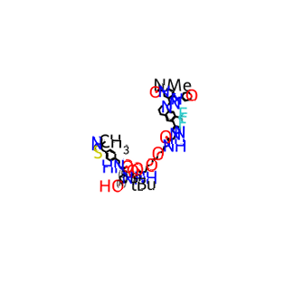 CNC(=O)N1CCc2c(c(N3CCCc4cc(-c5cnn(CC(=O)NCCOCCOCCC(=O)N[C@H](C(=O)N6C[C@H](O)C[C@H]6C(=O)NCc6ccc(-c7scnc7C)cc6)C(C)(C)C)c5)c(C(F)F)cc43)nn2C2CCOCC2)C1